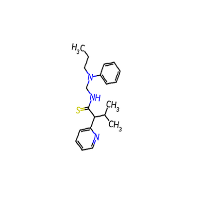 CCCN(CNC(=S)C(c1ccccn1)C(C)C)c1ccccc1